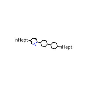 CCCCCCCc1ccc(C2CCC(C3CCC(CCCCCCC)CC3)CC2)nc1